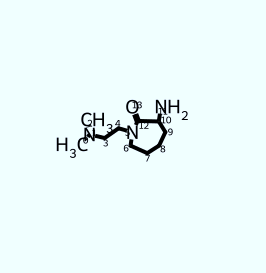 CN(C)CCN1CCCCC(N)C1=O